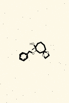 C[C@@]1(O)CCCCC2(C[C@@H]1OCc1ccccc1)OCCO2